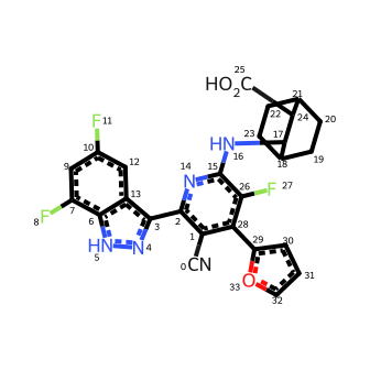 N#Cc1c(-c2n[nH]c3c(F)cc(F)cc23)nc(NC2C3CCC(CC3)C2C(=O)O)c(F)c1-c1ccco1